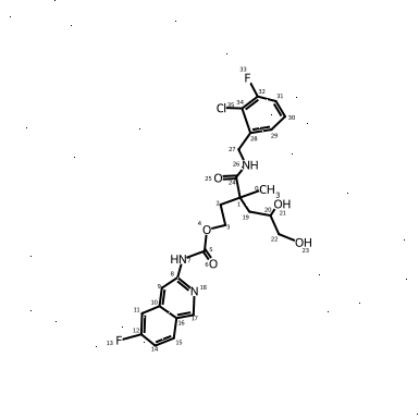 CC(CCOC(=O)Nc1cc2cc(F)ccc2cn1)(CC(O)CO)C(=O)NCc1cccc(F)c1Cl